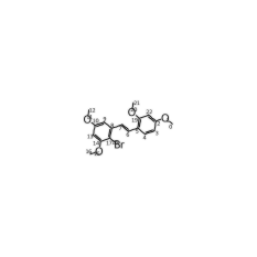 COc1ccc(/C=C/c2cc(OC)cc(OC)c2Br)c(OC)c1